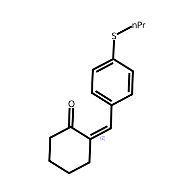 CCCSc1ccc(/C=C2/CCCCC2=O)cc1